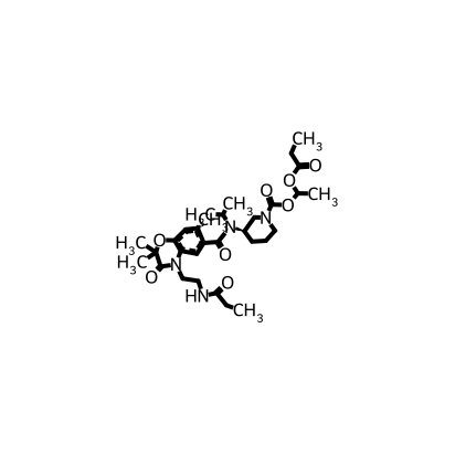 CCC(=O)NCCN1C(=O)C(C)(C)Oc2cc(C)c(C(=O)N(C(C)C)[C@@H]3CCCN(C(=O)OC(C)OC(=O)CC)C3)cc21